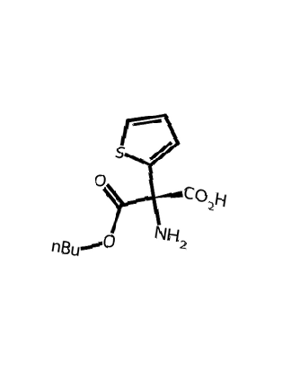 CCCCOC(=O)[C@](N)(C(=O)O)c1cccs1